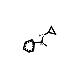 C[C@H](NC1CC1)c1ccccc1